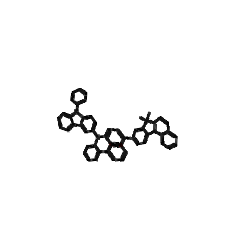 CC1(C)c2cc(-c3ccc(N(c4ccc5c(c4)c4ccccc4n5-c4ccccc4)c4ccccc4-c4ccccc4)cc3)ccc2-c2c1ccc1ccccc21